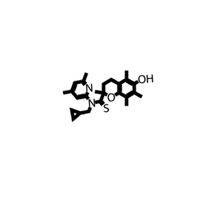 Cc1cc(C)nc(N(CC2CC2)C(=S)C2(C)CCc3c(C)c(O)c(C)c(C)c3O2)c1